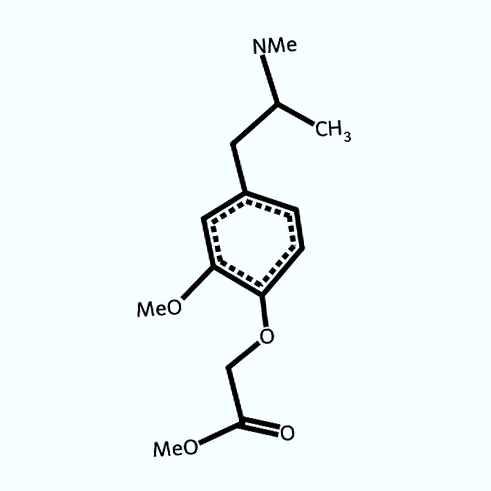 CNC(C)Cc1ccc(OCC(=O)OC)c(OC)c1